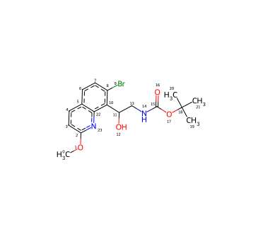 COc1ccc2ccc(Br)c(C(O)CNC(=O)OC(C)(C)C)c2n1